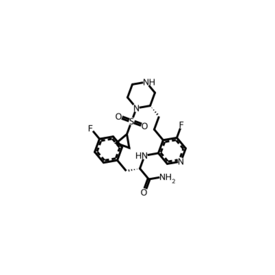 NC(=O)[C@H](Cc1ccc(F)cc1)Nc1cncc(F)c1CC[C@H]1CNCCN1S(=O)(=O)C1CC1